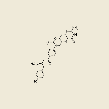 NC1=NC2N=CC(CN(C(=O)C(F)(F)F)c3ccc(C(=O)C[C@@H](Cc4ccc(O)cc4)C(=O)O)cc3)=NC2C(=O)N1